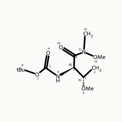 CO[C@@H](C)[C@@H](NC(=O)OC(C)(C)C)C(=O)N(C)OC